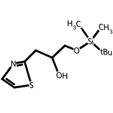 CC(C)(C)[Si](C)(C)OCC(O)Cc1nccs1